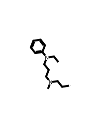 [CH2]CCN(C)CCCN(CC)c1ccccc1